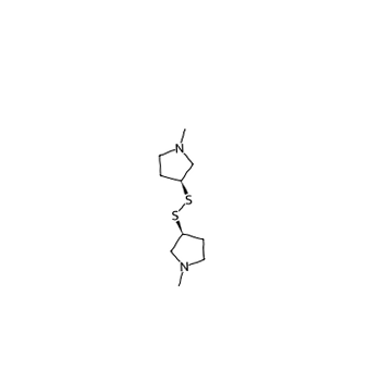 CN1CC[C@H](SS[C@H]2CCN(C)C2)C1